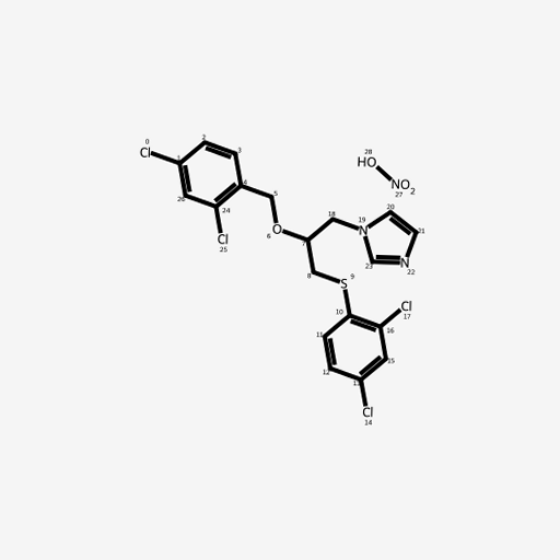 Clc1ccc(COC(CSc2ccc(Cl)cc2Cl)Cn2ccnc2)c(Cl)c1.O=[N+]([O-])O